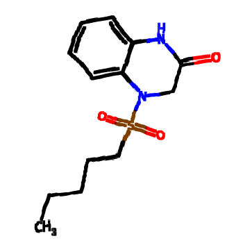 CCCCCS(=O)(=O)N1CC(=O)Nc2ccccc21